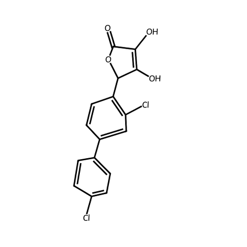 O=C1OC(c2ccc(-c3ccc(Cl)cc3)cc2Cl)C(O)=C1O